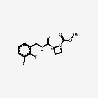 CC(C)(C)OC(=O)N1CC[C@H]1C(=O)NCc1cccc(Cl)c1F